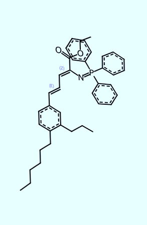 CCCCCCc1ccc(/C=C/C=C(\N=P(c2ccccc2)(c2ccccc2)c2ccccc2)C(=O)OCC)cc1CCC